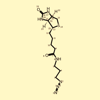 [N-]=[N+]=NCCCNC(=O)CCCC[C@@H]1SC[C@@H]2NC(=O)N[C@@H]21